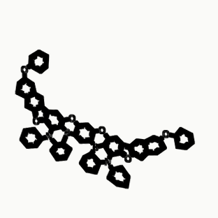 c1ccc(Oc2ccc3cc4oc5c6c7c(cc5c4cc3c2)Oc2cc3c(cc2B7c2ccccc2N6c2ccccc2)B2c4ccccc4N(c4ccccc4)c4c2c(cc2c4oc4cc5ccc(Oc6ccccc6)cc5cc42)O3)cc1